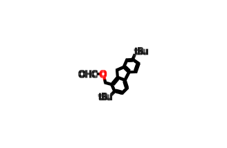 CC(C)(C)c1ccc2c(c1)Cc1c-2ccc(C(C)(C)C)c1COC=O